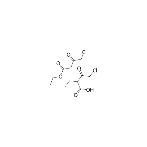 CCC(C(=O)O)C(=O)CCl.CCOC(=O)CC(=O)CCl